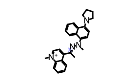 C/C(=N\N(C)c1ccc(N2CCCC2)c2ccccc12)c1cc[n+](C)c2ccccc12